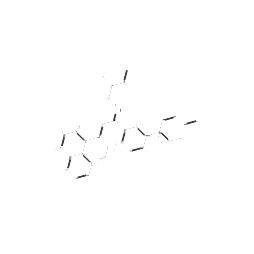 C=C/C=C\C(=C/C)c1cccc(C(/C=C(\CC)c2cccc3ccccc23)=N/CC(C)C=C)c1